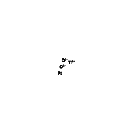 [O-2].[O-2].[Pt].[Ti+4]